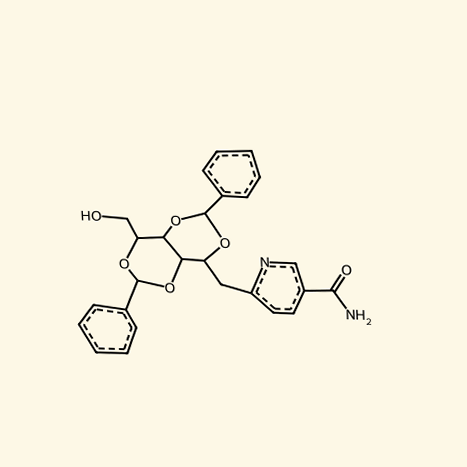 NC(=O)c1ccc(CC2OC(c3ccccc3)OC3C(CO)OC(c4ccccc4)OC23)nc1